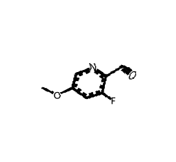 COc1cnc(C=O)c(F)c1